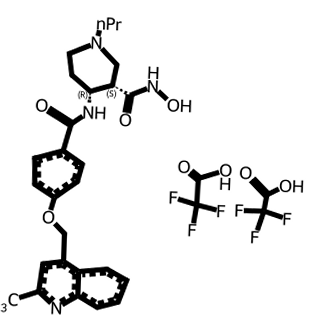 CCCN1CC[C@@H](NC(=O)c2ccc(OCc3cc(C)nc4ccccc34)cc2)[C@@H](C(=O)NO)C1.O=C(O)C(F)(F)F.O=C(O)C(F)(F)F